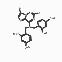 COc1ccc(CN(Cc2ccc(OC)cc2OC)c2nc(Cl)nn3c(Br)cnc23)c(OC)c1